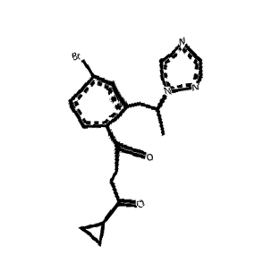 CC(c1cc(Br)ccc1C(=O)CC(=O)C1CC1)n1cncn1